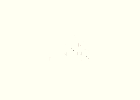 O=C(Nc1ccccn1)N1c2nc(N3CCC(CF)C3)ccc2N2CC[C@H]1C2